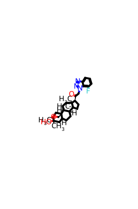 COC[C@]12CC[C@@](C)(O)C[C@@H]1CC[C@@H]1[C@@H]2CC[C@]2(C)[C@@H](C(=O)Cn3nnc4cccc(F)c43)CC[C@@]12C